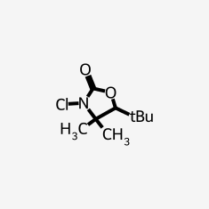 CC(C)(C)C1OC(=O)N(Cl)C1(C)C